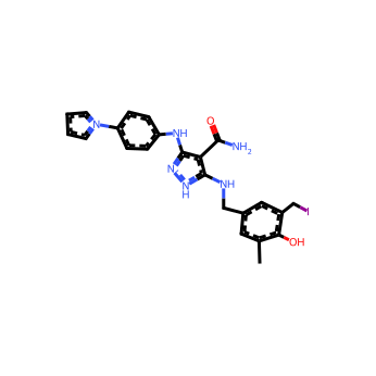 Cc1cc(CNc2[nH]nc(Nc3ccc(-n4cccc4)cc3)c2C(N)=O)cc(CI)c1O